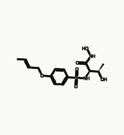 CC=CCOc1ccc(S(=O)(=O)N[C@@H](C(=O)NO)[C@H](C)O)cc1